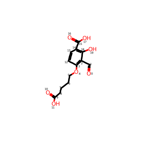 O=Cc1c(OCCCCC(=O)O)ccc(C(=O)O)c1O